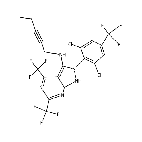 CCC#CCNC1=C2C(C(F)(F)F)=NC(C(F)(F)F)=NC2NN1c1c(Cl)cc(C(F)(F)F)cc1Cl